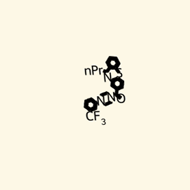 CCCC1=Nc2cc(C(=O)N3CCN(c4cccc(C(F)(F)F)c4)CC3)ccc2Sc2ccccc21